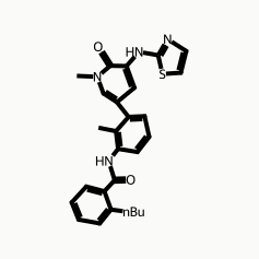 CCCCc1ccccc1C(=O)Nc1cccc(-c2cc(Nc3nccs3)c(=O)n(C)c2)c1C